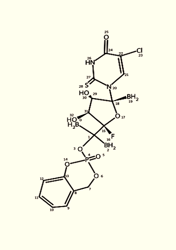 BC(B)(OP1(=O)OCc2ccccc2O1)[C@@]1(F)O[C@@](B)(n2cc(Cl)c(=O)[nH]c2=S)[C@H](O)[C@@H]1O